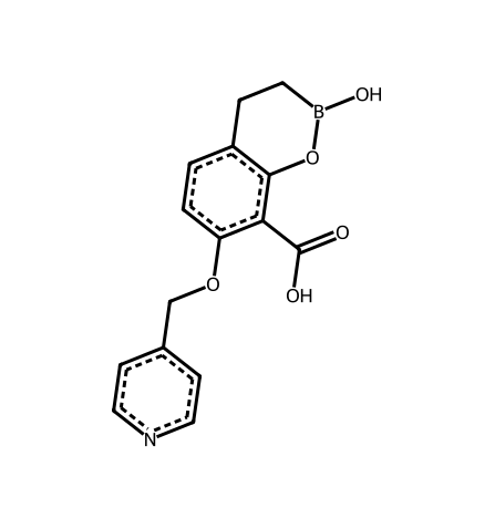 O=C(O)c1c(OCc2ccncc2)ccc2c1OB(O)CC2